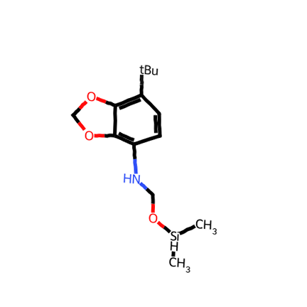 C[SiH](C)OCNc1ccc(C(C)(C)C)c2c1OCO2